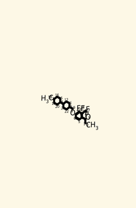 CCC(=O)c1ccc(OCC2CCC(C3CCC(C)CC3)CC2)c(F)c1C(F)(F)F